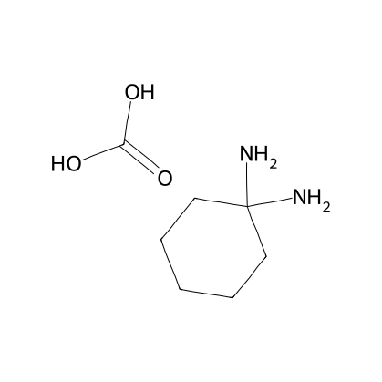 NC1(N)CCCCC1.O=C(O)O